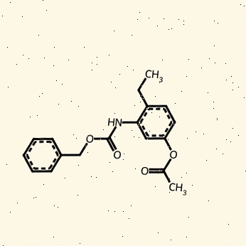 CCc1ccc(OC(C)=O)cc1NC(=O)OCc1ccccc1